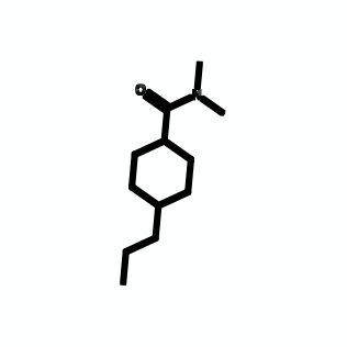 CCCC1CCC(C(=O)N(C)C)CC1